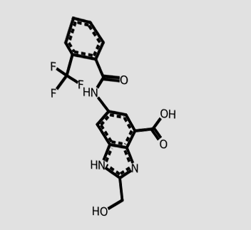 O=C(Nc1cc(C(=O)O)c2nc(CO)[nH]c2c1)c1ccccc1C(F)(F)F